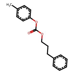 Cc1ccc(OC(=O)OCCCc2ccccc2)cc1